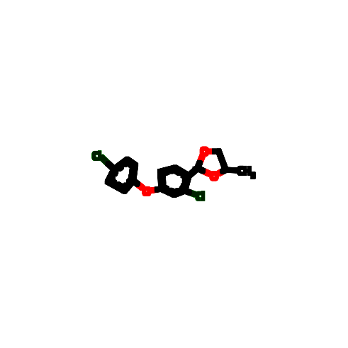 CC1CO[C](c2ccc(Oc3ccc(Cl)cc3)cc2Cl)O1